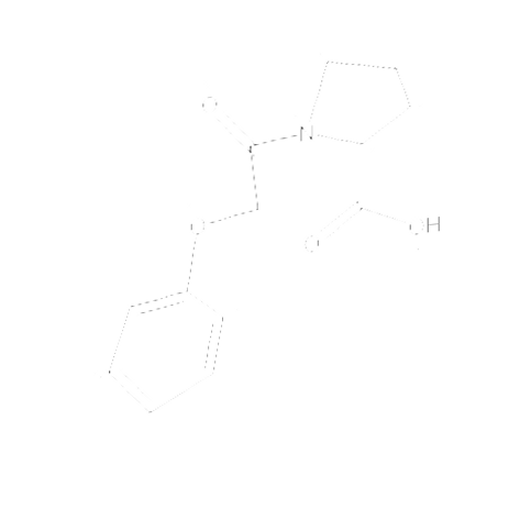 O=C(O)[C@H]1CCCN1C(=O)COc1c[c]ccc1